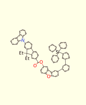 CCC1(CC)c2cc(C(=O)Oc3ccc4oc5ccc(-c6cccc(-c7cccc([Si](c8ccccc8)(c8ccccc8)c8ccccc8)c7)c6)cc5c4c3)ccc2-c2ccc(-n3c4ccccc4c4ccccc43)cc21